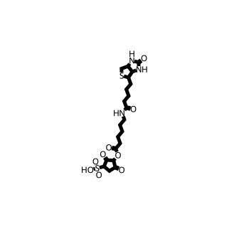 O=C(CCCCC1SCC2NC(=O)NC21)NCCCCCC(=O)OC1C(=O)CC(S(=O)(=O)O)C1=O